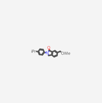 COCc1ccc2c(c1)C(=O)N(c1ccc(C(C)C)cc1)C2